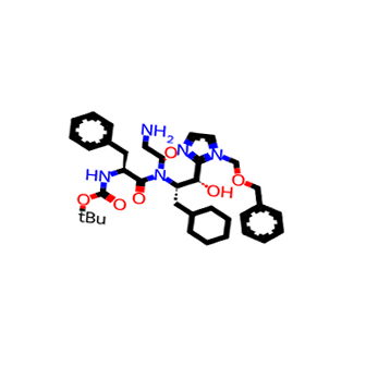 CC(C)(C)OC(=O)N[C@@H](Cc1ccccc1)C(=O)N(C(=O)CN)[C@@H](CC1CCCCC1)[C@@H](O)c1nccn1COCc1ccccc1